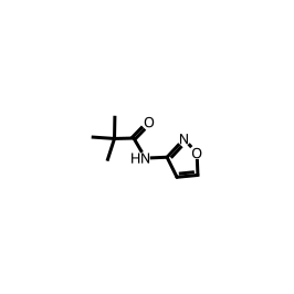 CC(C)(C)C(=O)Nc1ccon1